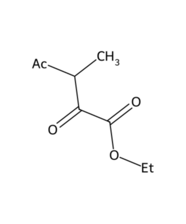 CCOC(=O)C(=O)C(C)C(C)=O